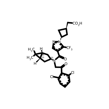 CC1(C)[C@@H]2C[C@@H](N(CC(=O)c3c(Cl)cccc3Cl)C(=O)c3cnn([C@H]4C[C@H](CC(=O)O)C4)c3C(F)(F)F)C[C@@H]21